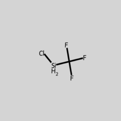 FC(F)(F)[SiH2]Cl